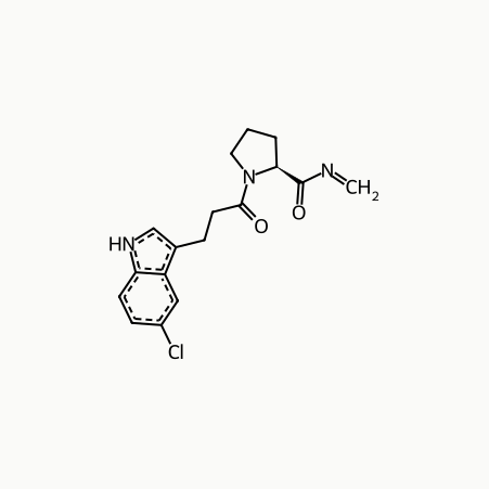 C=NC(=O)[C@@H]1CCCN1C(=O)CCc1c[nH]c2ccc(Cl)cc12